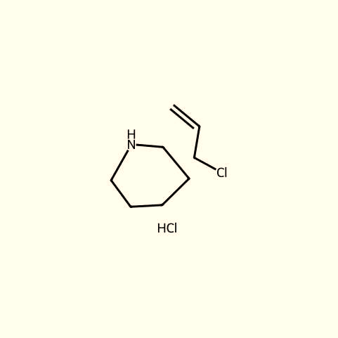 C1CCNCC1.C=CCCl.Cl